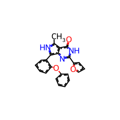 Cc1[nH]c(-c2ccccc2Oc2ccccc2)c2nc(-c3ccco3)[nH]c(=O)c12